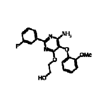 COc1ccccc1Oc1c(N)nc(-c2cccc(F)c2)nc1OCCO